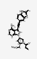 C=CC(=O)N1C[C@@H](n2nc(C#Cc3ccc4[nH]c(C)nc4c3)c3c(N)ncnc32)C[C@@H]1COC